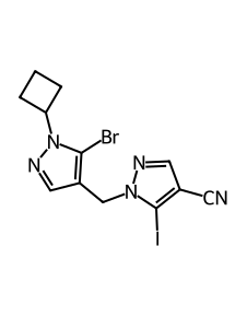 N#Cc1cnn(Cc2cnn(C3CCC3)c2Br)c1I